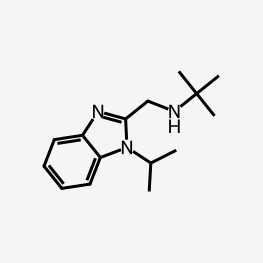 CC(C)n1c(CNC(C)(C)C)nc2ccccc21